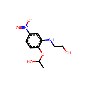 CC(O)Oc1ccc([N+](=O)[O-])cc1NCCO